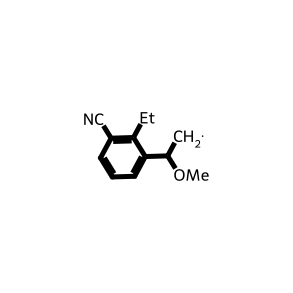 [CH2]C(OC)c1cccc(C#N)c1CC